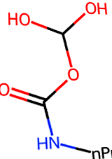 CCCNC(=O)OC(O)O